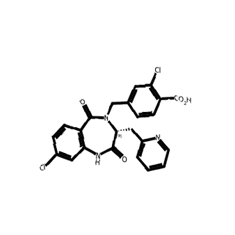 O=C(O)c1ccc(CN2C(=O)c3ccc(Cl)cc3NC(=O)[C@H]2Cc2ccccn2)cc1Cl